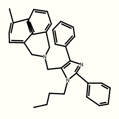 CCCCn1c(-c2ccccc2)nc(-c2ccccc2)c1CN(Cc1ccccc1)Cc1ccc(C)cc1